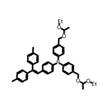 CCOC(C)OCc1ccc(N(c2ccc(C=C(c3ccc(C)cc3)c3ccc(C)cc3)cc2)c2ccc(COC(C)OCC)cc2)cc1